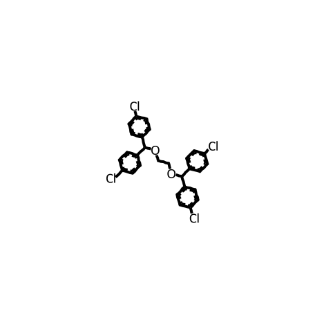 Clc1ccc(C(OCCOC(c2ccc(Cl)cc2)c2ccc(Cl)cc2)c2ccc(Cl)cc2)cc1